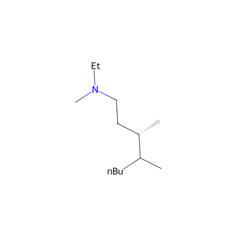 CCCCC(C)[C@@H](C)CCN(C)CC